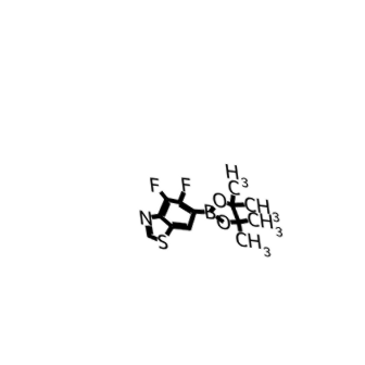 CC1(C)OB(c2cc3scnc3c(F)c2F)OC1(C)C